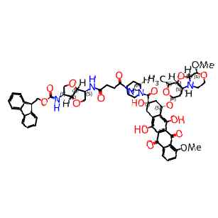 COc1cccc2c1C(=O)c1c(O)c3c(c(O)c1C2=O)C[C@@](O)(C(=O)N1CC2CC[C@@H]1CN2C(=O)CCC(=O)N[C@H]1CO[C@H]2[C@@H]1OC[C@@H]2NC(=O)OCC1c2ccccc2-c2ccccc21)C[C@@H]3O[C@H]1C[C@H]2[C@H](O[C@@H]3[C@@H](OC)OCCN32)[C@H](C)O1